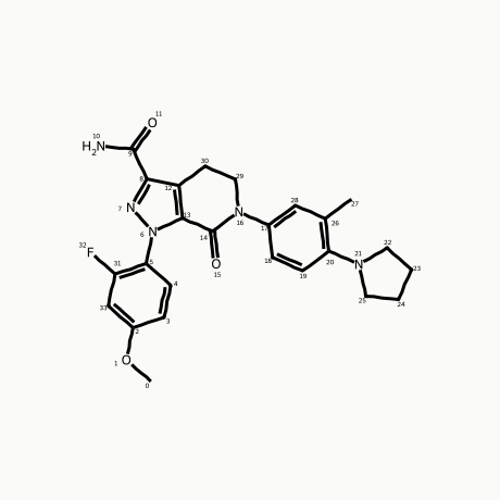 COc1ccc(-n2nc(C(N)=O)c3c2C(=O)N(c2ccc(N4CCCC4)c(C)c2)CC3)c(F)c1